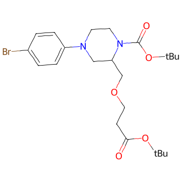 CC(C)(C)OC(=O)CCOCC1CN(c2ccc(Br)cc2)CCN1C(=O)OC(C)(C)C